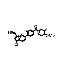 B=Cc1cc(Cl)c2ccc(-c3ccc(C(=O)N4CCC(OC)C(F)C4)cc3F)nn12